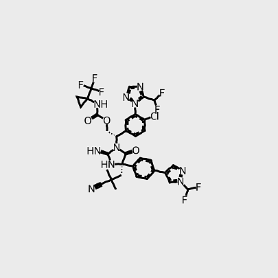 CC(C)(C#N)C[C@]1(c2ccc(-c3cnn(C(F)F)c3)cc2)NC(=N)N([C@H](COC(=O)NC2(C(F)(F)F)CC2)c2ccc(Cl)c(-n3ncnc3C(F)F)c2)C1=O